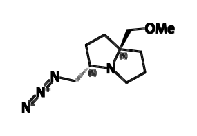 COC[C@@]12CCCN1[C@H](CN=[N+]=[N-])CC2